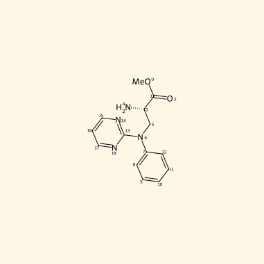 COC(=O)[C@@H](N)CN(c1ccccc1)c1ncccn1